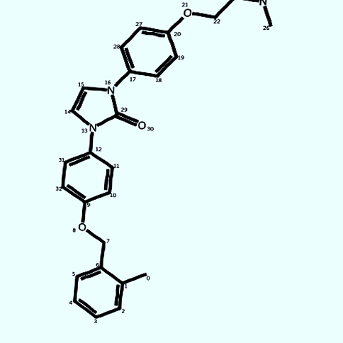 Cc1ccccc1COc1ccc(-n2ccn(-c3ccc(OCCN(C)C)cc3)c2=O)cc1